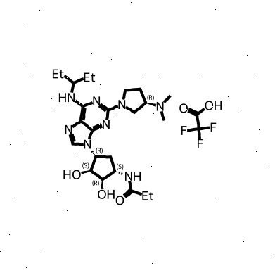 CCC(=O)N[C@H]1C[C@@H](n2cnc3c(NC(CC)CC)nc(N4CC[C@@H](N(C)C)C4)nc32)[C@H](O)[C@@H]1O.O=C(O)C(F)(F)F